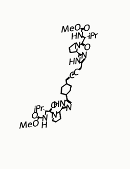 COC(=O)N[C@@H](C(=O)N1CCC[C@@H]1c1ncc(C=C=C=CC2CCC(c3cnc([C@H]4CCCN4C(=O)[C@H](NC(=O)OC)C(C)C)[nH]3)CC2)[nH]1)C(C)C